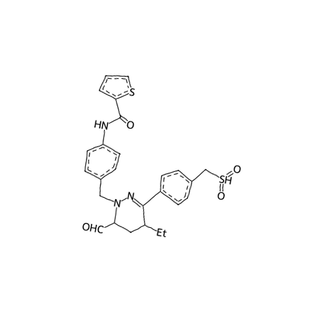 CCC1CC(C=O)N(Cc2ccc(NC(=O)c3cccs3)cc2)N=C1c1ccc(C[SH](=O)=O)cc1